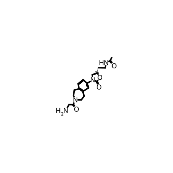 CC(=O)NCC[C@H]1CN(c2ccc3c(c2)CCN(C(=O)CN)CC3)C(=O)O1